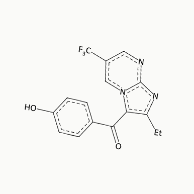 CCc1nc2ncc(C(F)(F)F)cn2c1C(=O)c1ccc(O)cc1